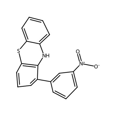 O=[N+]([O-])c1cccc(-c2cccc3c2Nc2ccccc2S3)c1